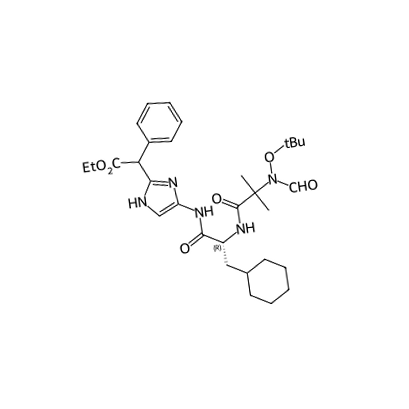 CCOC(=O)C(c1ccccc1)c1nc(NC(=O)[C@@H](CC2CCCCC2)NC(=O)C(C)(C)N(C=O)OC(C)(C)C)c[nH]1